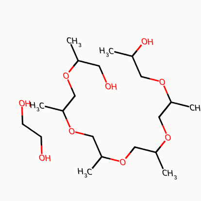 CC(O)COC(C)COC(C)COC(C)COC(C)COC(C)CO.OCCO